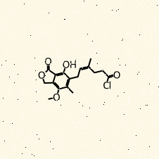 COc1c(C)c(CC=C(C)CCC(=O)Cl)c(O)c2c1COC2=O